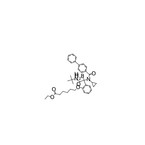 BC(C(=O)NC(C)(C)C)(c1ccccc1OCCCCCC(=O)OCC)N(C(=O)c1ccc(-c2ccccc2)cc1)C1CC1